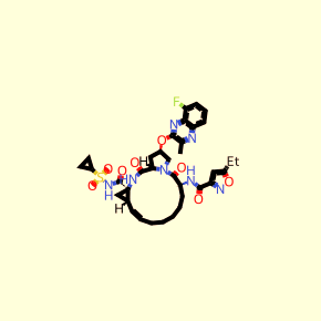 CCc1cc(C(=O)N[C@H]2CCCCCC=C[C@@H]3C[C@@]3(C(=O)NS(=O)(=O)C3CC3)NC(=O)[C@@H]3C[C@@H](Oc4nc5c(F)cccc5nc4C)CN3C2=O)no1